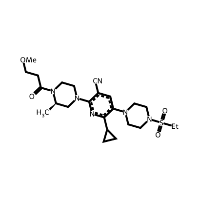 CCS(=O)(=O)N1CCN(c2cc(C#N)c(N3CCN(C(=O)CCOC)[C@H](C)C3)nc2C2CC2)CC1